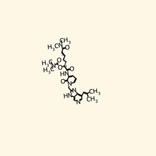 CC(C)=Cc1cncc2[nH]c(Cn3cccc(NC(=O)[C@H](CC/C=C/C(=O)N(C)C)OC(=O)N(C)C)c3=O)nc12